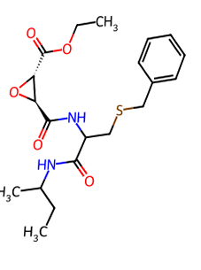 CCOC(=O)[C@H]1O[C@@H]1C(=O)NC(CSCc1ccccc1)C(=O)NC(C)CC